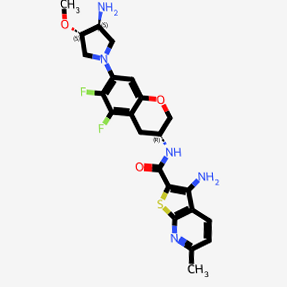 CO[C@H]1CN(c2cc3c(c(F)c2F)C[C@@H](NC(=O)c2sc4nc(C)ccc4c2N)CO3)C[C@@H]1N